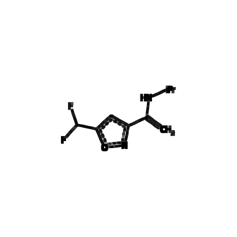 C=C(NC(C)C)c1cc(C(F)F)on1